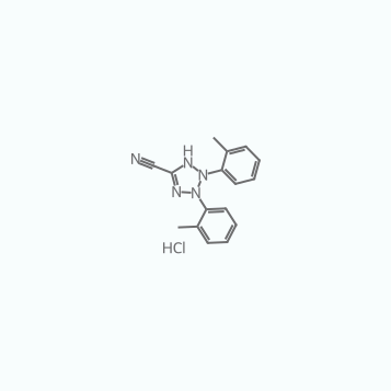 Cc1ccccc1N1N=C(C#N)NN1c1ccccc1C.Cl